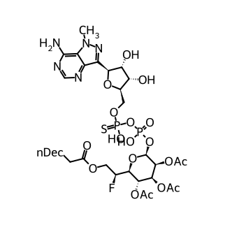 CCCCCCCCCCCC(=O)OC[C@H](F)[C@H]1O[C@@H](OP(=O)(O)OP(O)(=S)OC[C@H]2O[C@@H](c3nn(C)c4c(N)ncnc34)[C@H](O)[C@@H]2O)[C@@H](OC(C)=O)[C@@H](OC(C)=O)[C@@H]1OC(C)=O